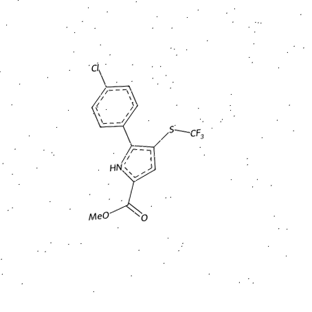 COC(=O)c1cc(SC(F)(F)F)c(-c2ccc(Cl)cc2)[nH]1